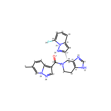 Cc1ccc2c(C(=O)N3CCc4[nH]cnc4[C@H]3c3cc4cccc(F)n4n3)cnn2c1